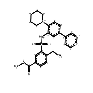 CCc1ccc(C(=O)OC)cc1S(=O)(=O)Nc1cc(-c2ccnnc2)ccc1N1CCCCC1